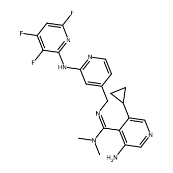 CN(C)/C(=N/Cc1ccnc(Nc2nc(F)cc(F)c2F)c1)c1c(N)cncc1C1CC1